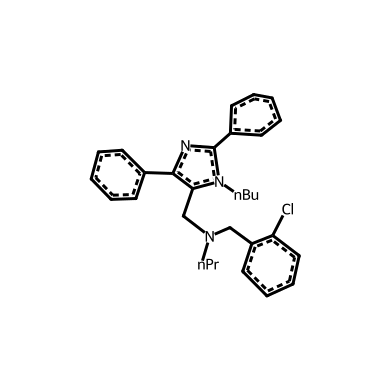 CCCCn1c(-c2ccccc2)nc(-c2ccccc2)c1CN(CCC)Cc1ccccc1Cl